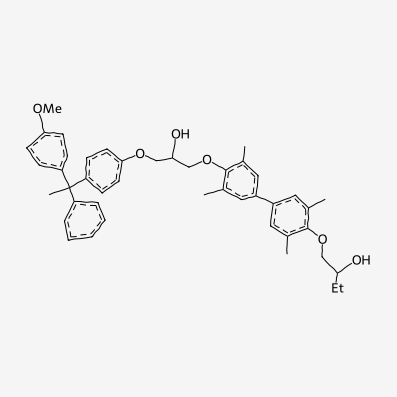 CCC(O)COc1c(C)cc(-c2cc(C)c(OCC(O)COc3ccc(C(C)(c4ccccc4)c4ccc(OC)cc4)cc3)c(C)c2)cc1C